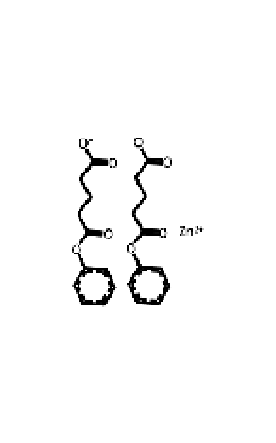 O=C([O-])CCCC(=O)Oc1ccccc1.O=C([O-])CCCC(=O)Oc1ccccc1.[Zn+2]